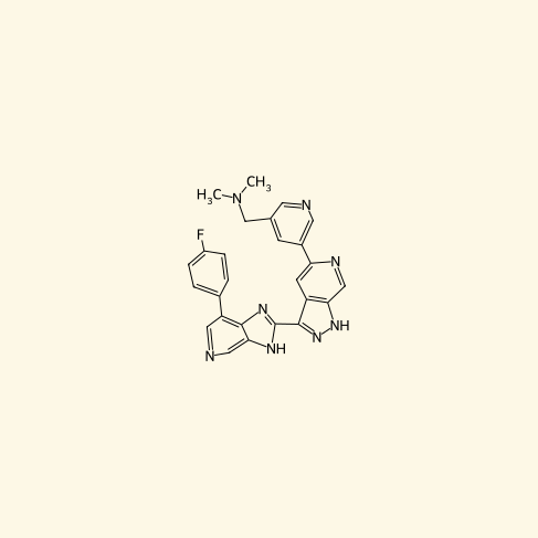 CN(C)Cc1cncc(-c2cc3c(-c4nc5c(-c6ccc(F)cc6)cncc5[nH]4)n[nH]c3cn2)c1